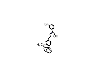 COc1cc(CC/C=C(\CO)c2cccc(Br)c2)ccc1C12CC3CC(CC(C3)C1)C2